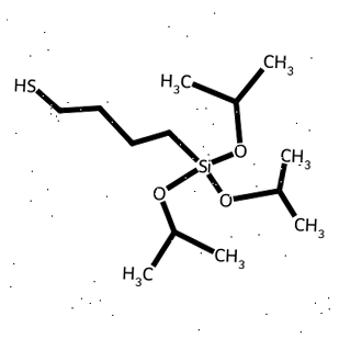 CC(C)O[Si](CCCCS)(OC(C)C)OC(C)C